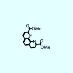 COC(=O)c1ccc2ccc3ccc(C(=O)OC)nc3c2n1